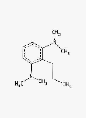 CCCc1c(N(C)C)cccc1N(C)C